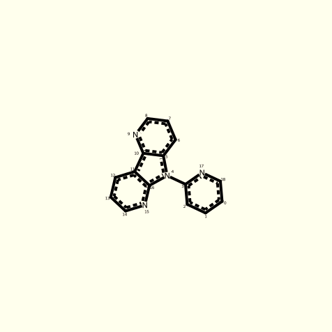 c1ccc(-n2c3cccnc3c3cccnc32)nc1